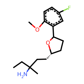 CCC(C)(N)CC[C@H]1CCC(c2cc(F)ccc2OC)O1